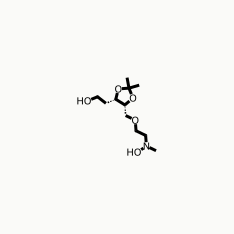 CN(O)CCOC[C@H]1OC(C)(C)O[C@H]1CCO